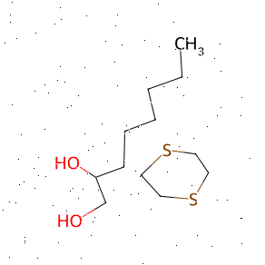 C1CSCCS1.CCCCCCC(O)CO